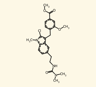 COC(=O)c1ccc(Cc2c(Cl)n(C)c3ccc(CCNC(=O)N(C)C)cc23)c(OC)c1